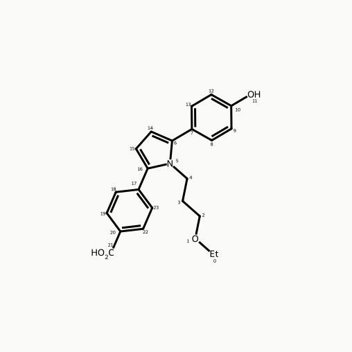 CCOCCCn1c(-c2ccc(O)cc2)ccc1-c1ccc(C(=O)O)cc1